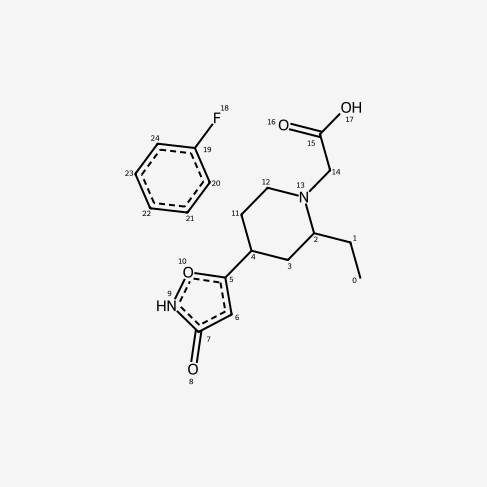 CCC1CC(c2cc(=O)[nH]o2)CCN1CC(=O)O.Fc1ccccc1